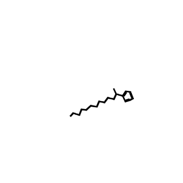 CCCCCCCCCCCC(C)c1ccccc1